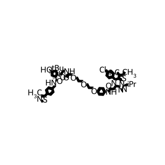 Cc1ncsc1-c1ccc(CNC(=O)[C@@H]2C[C@@H](O)CN2C(=O)C(NC(=O)COCCCOCCCOc2ccc(NC(=O)CC3N=C(c4ccc(Cl)cc4)c4c(sc(C)c4C)-n4c(C(C)C)nnc43)cc2)C(C)(C)C)cc1